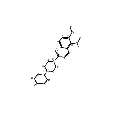 COc1cccc(/C=C\C(=O)N2CCN(C3CCCCC3)CC2)c1OC